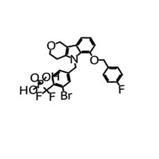 O=P(O)(O)C(F)(F)c1ccc(Cn2c3c(c4cccc(OCc5ccc(F)cc5)c42)COCC3)cc1Br